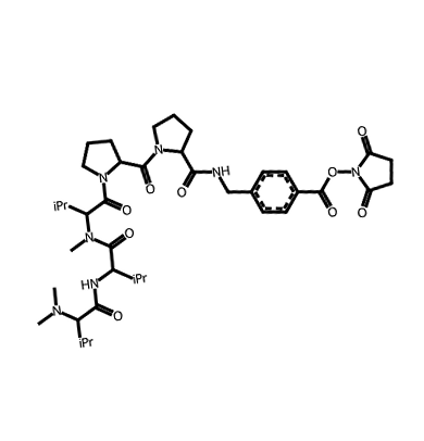 CC(C)C(NC(=O)C(C(C)C)N(C)C)C(=O)N(C)C(C(=O)N1CCCC1C(=O)N1CCCC1C(=O)NCc1ccc(C(=O)ON2C(=O)CCC2=O)cc1)C(C)C